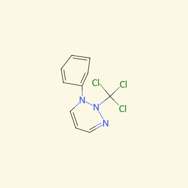 ClC(Cl)(Cl)N1N=CC=CN1c1ccccc1